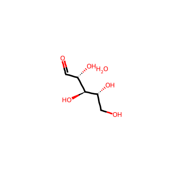 O.O=C[C@H](O)[C@H](O)[C@H](O)CO